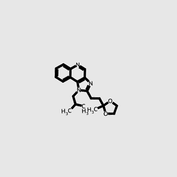 CC(C)Cn1c(CCC2(C)OCCO2)nc2cnc3ccccc3c21